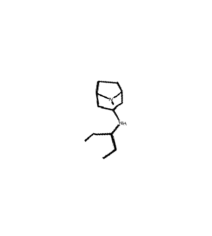 CCC(CC)NC1CC2CCC(C1)N2C